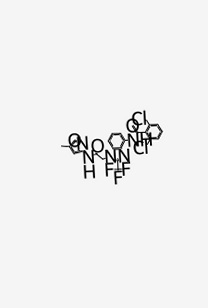 Cc1cc(NC(=O)Cn2c(C(F)(F)F)nc3c(NC(=O)c4c(Cl)cccc4Cl)cccc32)no1